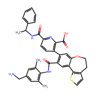 Cc1cc(CN)cc(C)c1NC(=O)c1cc2c(cc1-c1ccc(C(=O)NC(C)c3ccccc3)nc1C(=O)O)OCCc1ccsc1-2